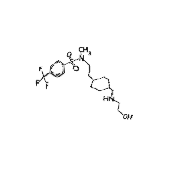 CN(CCC1CCC(CNCCO)CC1)S(=O)(=O)c1ccc(C(F)(F)F)cc1